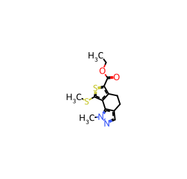 CCOC(=O)c1sc(SC)c2c1CCc1cnn(C)c1-2